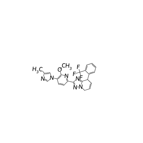 COc1nc(-c2nc3n(n2)CC=CC3c2ccccc2C(F)(F)F)ccc1-n1cnc(C)c1